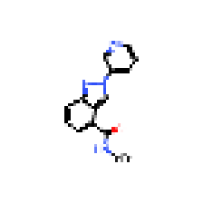 CCCNC(=O)c1cccc2nn(-c3cccnc3)cc12